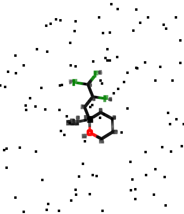 CCCC[Si]1(CC(F)C(F)F)CCCCO1